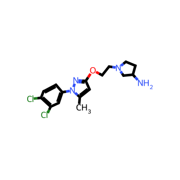 Cc1cc(OCCN2CCC(N)C2)nn1-c1ccc(Cl)c(Cl)c1